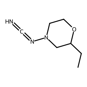 CCC1CN(N=C=N)CCO1